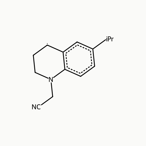 CC(C)c1ccc2c(c1)[CH]CCN2CC#N